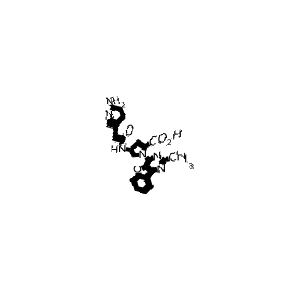 Cc1nc(N2CC(NC(=O)Cc3ccc(N)nc3)CC2C(=O)O)c2oc3ccccc3c2n1